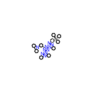 C1=CC2N=C3N(c4nc(-c5cccc(-n6c7ccccc7c7ccccc76)c5)nc(-n5c6ccccc6n6c7ccccc7nc56)n4)c4ccccc4N3C2C=C1[Si](c1ccccc1)(c1ccccc1)c1ccccc1